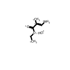 CCOC(=O)C(C)=CN.Cl